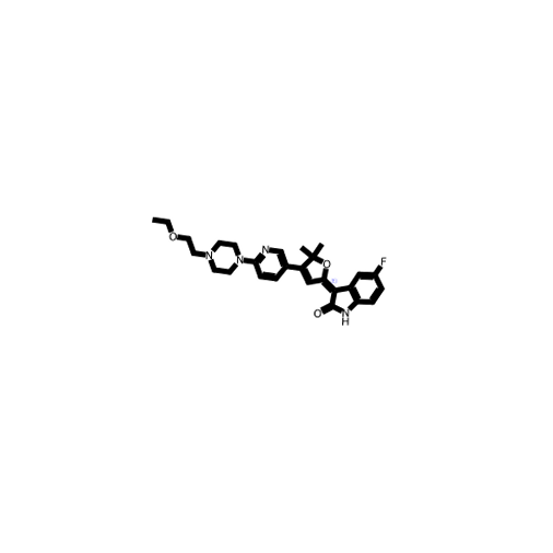 CCOCCN1CCN(c2ccc(C3=C/C(=C4\C(=O)Nc5ccc(F)cc54)OC3(C)C)cn2)CC1